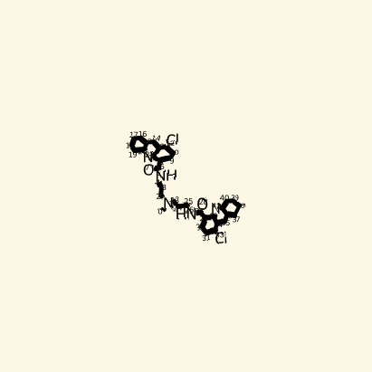 CN(CCCNC(=O)c1ccc(Cl)c2cc3ccccc3nc12)CCCNC(=O)c1ccc(Cl)c2cc3ccccc3nc12